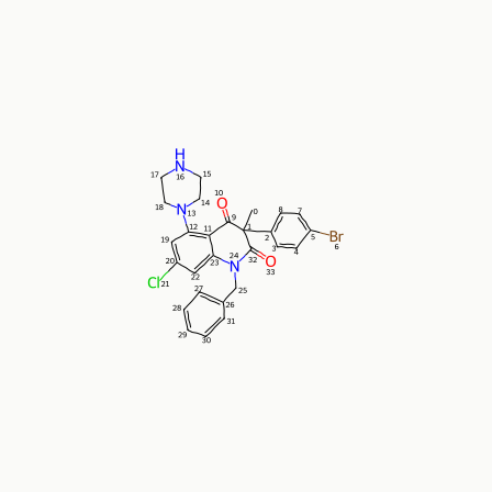 CC1(c2ccc(Br)cc2)C(=O)c2c(N3CCNCC3)cc(Cl)cc2N(Cc2ccccc2)C1=O